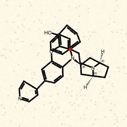 Oc1cccc2c1Oc1cc(-c3ccncc3)ccc1N2[C@H]1C[C@H]2CC[C@@H](C1)N2CCc1ccccc1